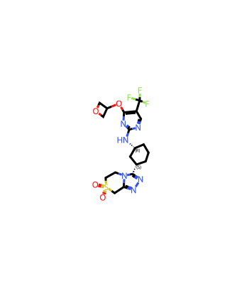 O=S1(=O)CCn2c(nnc2[C@H]2CCC[C@@H](Nc3ncc(C(F)(F)F)c(OC4COC4)n3)C2)C1